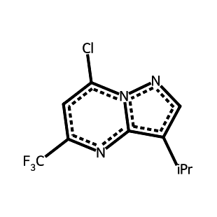 CC(C)c1cnn2c(Cl)cc(C(F)(F)F)nc12